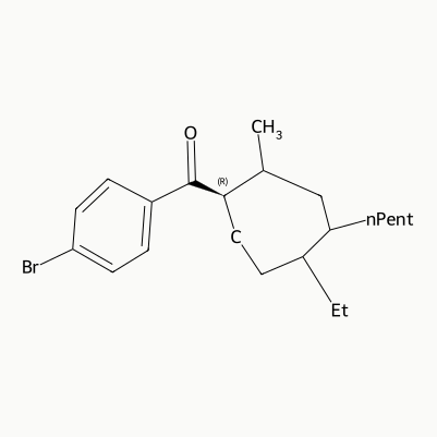 CCCCCC1CC(C)[C@H](C(=O)c2ccc(Br)cc2)CCC1CC